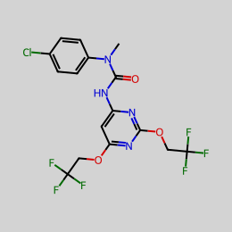 CN(C(=O)Nc1cc(OCC(F)(F)F)nc(OCC(F)(F)F)n1)c1ccc(Cl)cc1